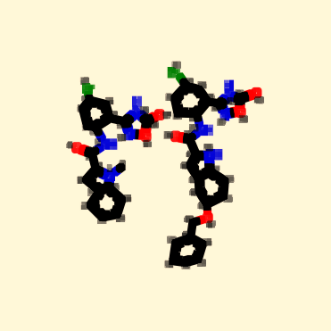 Cn1c(C(=O)Nc2ccc(Br)cc2-c2noc(=O)[nH]2)cc2ccccc21.O=C(Nc1ccc(Br)cc1-c1noc(=O)[nH]1)c1cc2cc(OCc3ccccc3)ccc2[nH]1